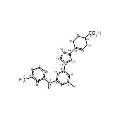 Cc1cc(Nc2nccc(C(F)(F)F)n2)cc(-n2cnc(C3=CCC(C(=O)O)CC3)c2)c1